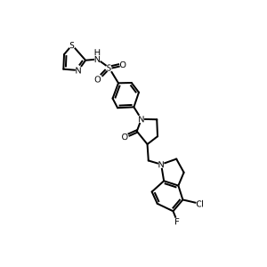 O=C1C(CN2CCc3c2ccc(F)c3Cl)CCN1c1ccc(S(=O)(=O)Nc2nccs2)cc1